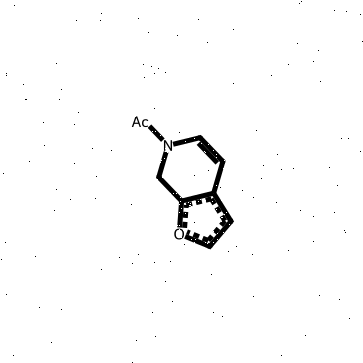 CC(=O)N1C=Cc2ccoc2C1